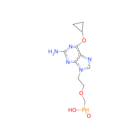 Nc1nc(OC2CC2)c2ncn(CCOC[PH](=O)O)c2n1